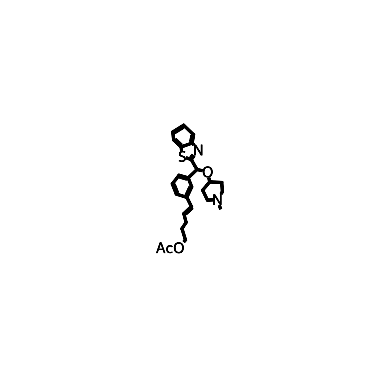 CC(=O)OCCC/C=C/c1cccc(C(OC2CCN(C)CC2)c2nc3ccccc3s2)c1